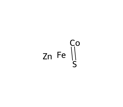 [Fe].[S]=[Co].[Zn]